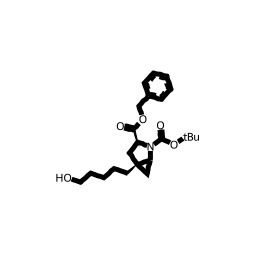 CC(C)(C)OC(=O)N1C2C[C@]2(CCCCCO)C[C@H]1C(=O)OCc1ccccc1